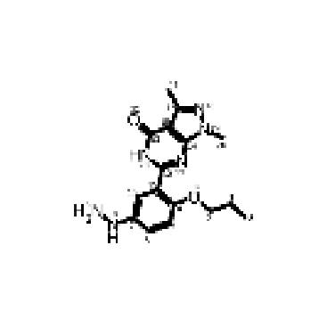 CCCOc1ccc(NN)cc1-c1nc2c(c(C)nn2C)c(=O)[nH]1